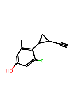 C#CC1CC1c1c(C)cc(O)cc1Cl